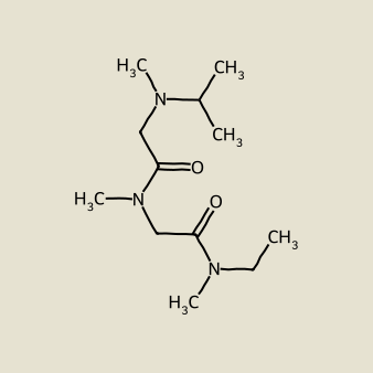 CCN(C)C(=O)CN(C)C(=O)CN(C)C(C)C